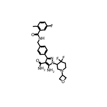 Cc1ccc(F)cc1C(=O)NCc1ccc(-c2nn(C3CN(C4COC4)CCC3(F)F)c(N)c2C(N)=O)cc1